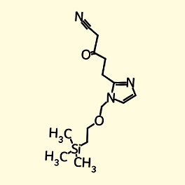 C[Si](C)(C)CCOCn1ccnc1CCC(=O)CC#N